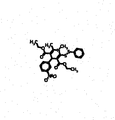 CCOC(=O)C1=C(C)N(C)C(SSc2ccccc2)=C(C(=O)OCC)C1c1cccc([N+](=O)[O-])c1